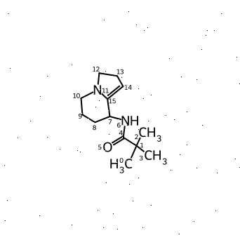 CC(C)(C)C(=O)NC1CCCN2CCC=C12